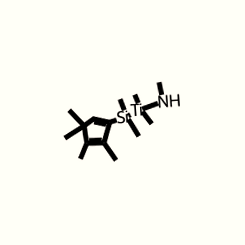 C[NH][Ti]([CH3])([CH3])[Si](C)(C)C1=CC(C)(C)C(C)=C1C